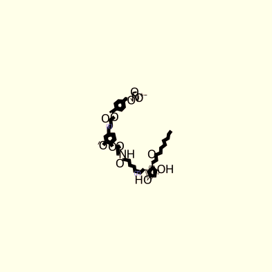 CCCCCCCC(=O)CC[C@@H]1[C@@H](C/C=C\CCCC(=O)NCC(=O)Oc2ccc(/C=C/C(=O)OCc3ccc(CO[N+](=O)[O-])cc3)cc2OC)[C@@H](O)C[C@H]1O